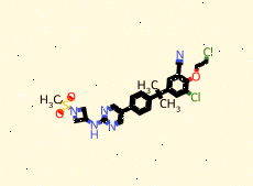 CC(C)(c1ccc(-c2cnc(NC3CN(S(C)(=O)=O)C3)nc2)cc1)c1cc(Cl)c(OCCCl)c(C#N)c1